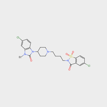 CCn1c(=O)n(C2CCN(CCCCN3C(=O)c4cc(Cl)ccc4S3(=O)=O)CC2)c2ccc(Cl)cc21